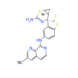 N#Cc1cnc2c(Nc3ccc(F)c([C@@]4(CF)N=C(N)SC5C[C@H]54)c3)nccc2c1